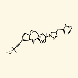 CN1C(=O)[C@H](NC(=O)n2cc(Cc3cccnn3)cn2)COc2ccc(C#CC(C)(C)O)cc21